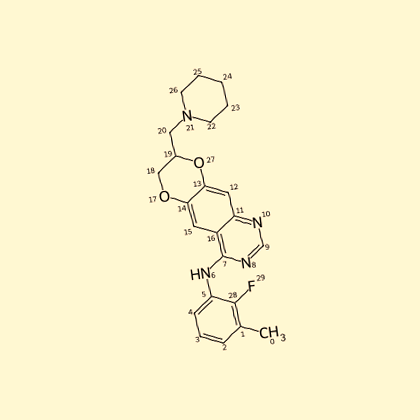 Cc1cccc(Nc2ncnc3cc4c(cc23)OCC(CN2CCCCC2)O4)c1F